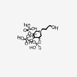 O=P(O)(O)OC1[C@H](OP(=O)(O)O)CN(CCCO)C[C@H]1OP(=O)(O)O